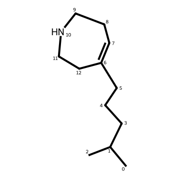 CC(C)CCCC1=CCCNCC1